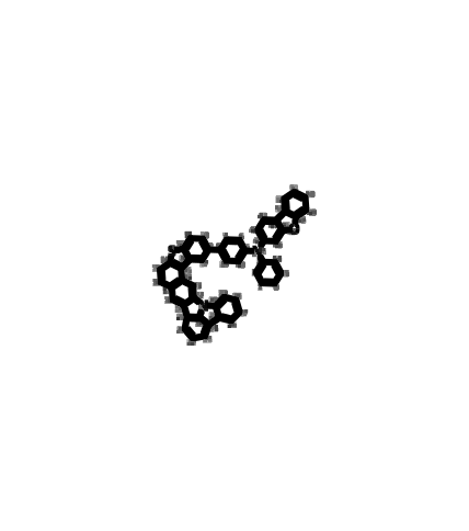 c1ccc(N(c2ccc(-c3ccc4sc5ccc6cc7c8cccc9c%10ccccc%10n(c7cc6c5c4c3)c98)cc2)c2ccc3c(c2)oc2ccccc23)cc1